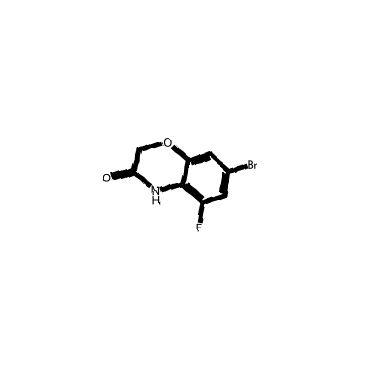 O=C1COc2cc(Br)cc(F)c2N1